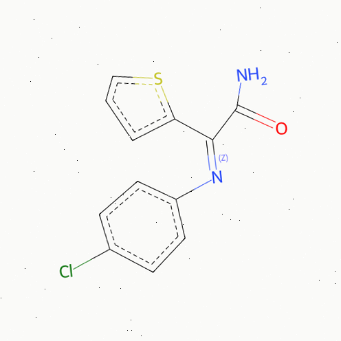 NC(=O)/C(=N/c1ccc(Cl)cc1)c1cccs1